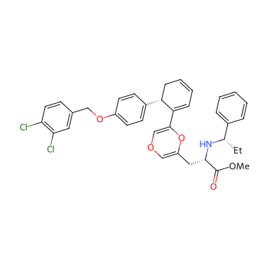 CC[C@H](N[C@@H](CC1=COC=C(C2=CC=CC[C@H]2c2ccc(OCc3ccc(Cl)c(Cl)c3)cc2)O1)C(=O)OC)c1ccccc1